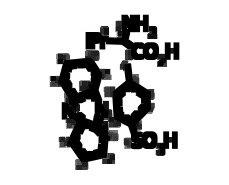 CC(C)C(N)C(=O)O.Cc1ccc(S(=O)(=O)O)cc1.c1ccc2nc3ccccc3nc2c1